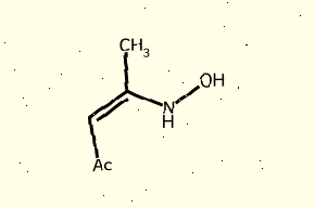 CC(=O)C=C(C)NO